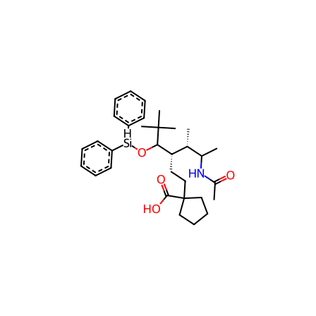 CC(=O)NC(C)[C@@H](C)[C@H](CCC1(C(=O)O)CCCC1)C(O[SiH](c1ccccc1)c1ccccc1)C(C)(C)C